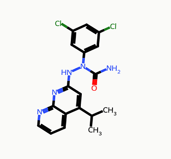 CC(C)c1cc(NN(C(N)=O)c2cc(Cl)cc(Cl)c2)nc2ncccc12